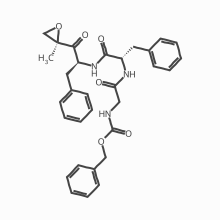 C[C@]1(C(=O)[C@H](Cc2ccccc2)NC(=O)[C@H](Cc2ccccc2)NC(=O)CNC(=O)OCc2ccccc2)CO1